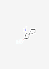 OC1CC2(CCC2)C1.[N]